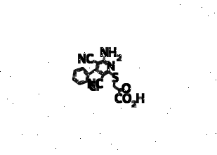 N#Cc1c(N)nc(SCC(=O)C(=O)O)c(C#N)c1-c1ccccc1Cl